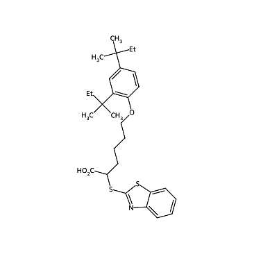 CCC(C)(C)c1ccc(OCCCCC(Sc2nc3ccccc3s2)C(=O)O)c(C(C)(C)CC)c1